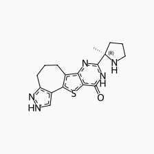 C[C@]1(c2nc3c4c(sc3c(=O)[nH]2)-c2c[nH]nc2CCC4)CCCN1